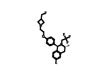 [CH2]c1ccc2c(c1)C[C@@H](C)N(CC(F)(F)F)[C@@H]2c1ccc(OCCN2CC(CF)C2)cc1